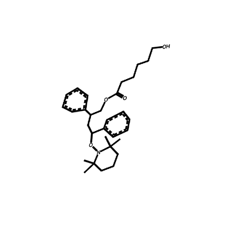 CC1(C)CCCC(C)(C)N1OC(CC(COC(=O)CCCCCO)c1ccccc1)c1ccccc1